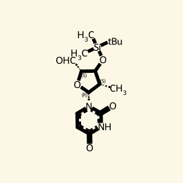 C[C@H]1C(O[Si](C)(C)C(C)(C)C)[C@@H](C=O)O[C@H]1n1ccc(=O)[nH]c1=O